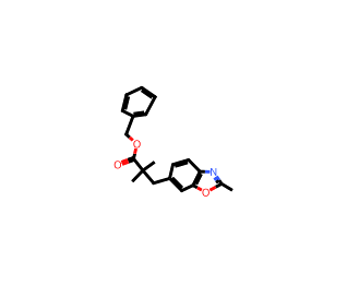 Cc1nc2ccc(CC(C)(C)C(=O)OCc3ccccc3)cc2o1